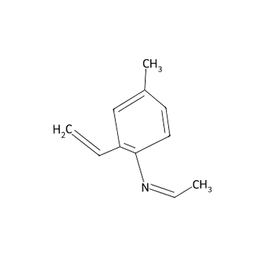 C=Cc1cc(C)ccc1/N=C\C